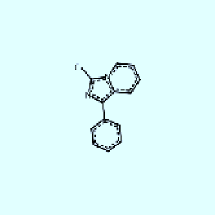 Clc1nc(-c2ccccc2)c2ccccn12